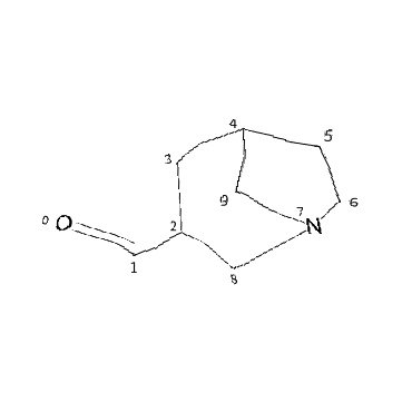 O=CC1CC2CCN(C1)C2